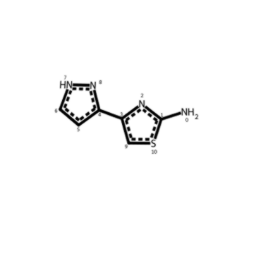 Nc1nc(-c2cc[nH]n2)cs1